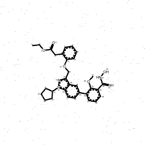 CCOC(=O)Cc1ccccc1OCc1nn(C2CCCC2)c2ccc(-c3cccc(C(=N)NO)c3OC)cc12